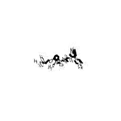 CNCCOc1cccc2c1n(C)c(=O)n2-c1nc(C(=O)Nc2cnccc2N2CCNCC2)cs1